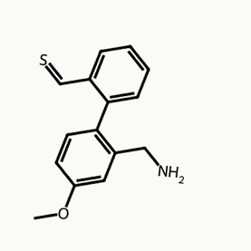 COc1ccc(-c2ccccc2C=S)c(CN)c1